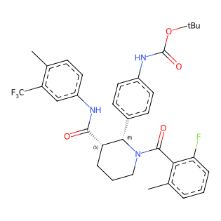 Cc1ccc(NC(=O)[C@H]2CCCN(C(=O)c3c(C)cccc3F)[C@H]2c2ccc(NC(=O)OC(C)(C)C)cc2)cc1C(F)(F)F